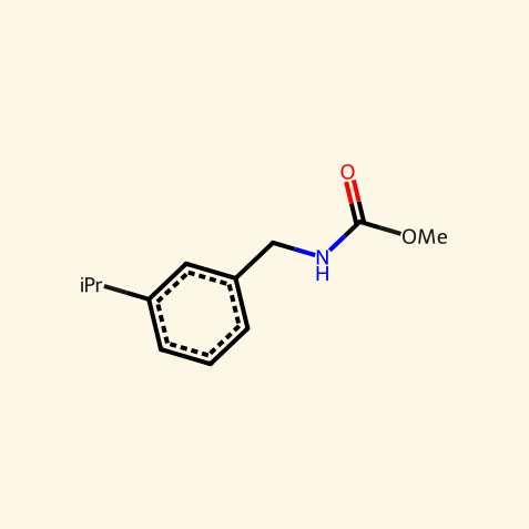 COC(=O)NCc1cccc(C(C)C)c1